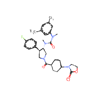 CN(C(=O)N(C)[C@@H]1CN(C(=O)C2CCC(N3CCOC3=O)CC2)C[C@H]1c1ccc(F)cc1)c1cc(C(F)(F)F)cc(C(F)(F)F)c1